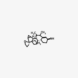 CC[C@]12CCC([C@H]3CCC(=N)C=C3C(C)C(C)C)CC1C1CC1[C@@]21CCCO1